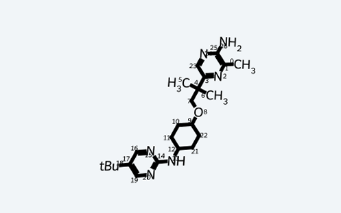 Cc1nc(C(C)(C)COC2CCC(Nc3ncc(C(C)(C)C)cn3)CC2)cnc1N